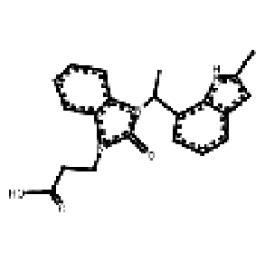 Cc1cc2cccc(C(C)n3c(=O)n(CCC(=O)O)c4ccccc43)c2[nH]1